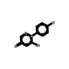 CCc1cc(=O)cnn1-c1ccc(Cl)cc1